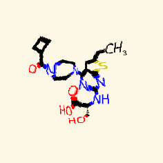 CCc1cc2c(N3CCN(C(=O)C4CCC4)CC3)nc(N[C@H](CO)C(=O)O)nc2s1